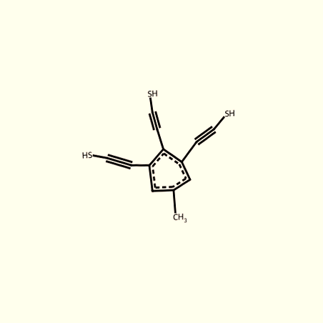 Cc1cc(C#CS)c(C#CS)c(C#CS)c1